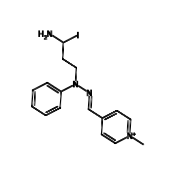 C[n+]1ccc(/C=N/N(CCC(N)I)c2ccccc2)cc1